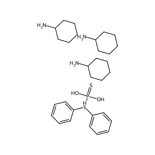 NC1CCCCC1.NC1CCCCC1.NC1CCCCC1.OP(O)(=S)[SH](c1ccccc1)c1ccccc1